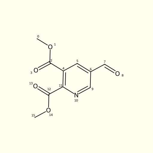 COC(=O)c1cc(C=O)cnc1C(=O)OC